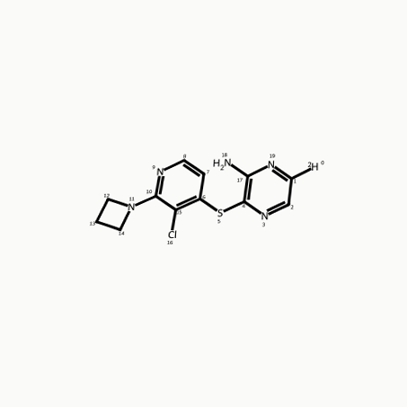 [2H]c1cnc(Sc2ccnc(N3CCC3)c2Cl)c(N)n1